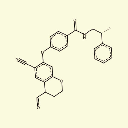 C[C@@H](CNC(=O)c1ccc(Oc2cc3c(cc2C#N)C(C=O)CCO3)cc1)c1ccccc1